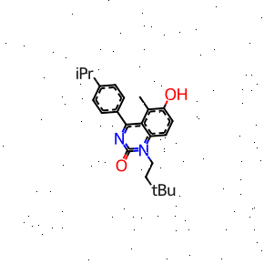 Cc1c(O)ccc2c1c(-c1ccc(C(C)C)cc1)nc(=O)n2CCC(C)(C)C